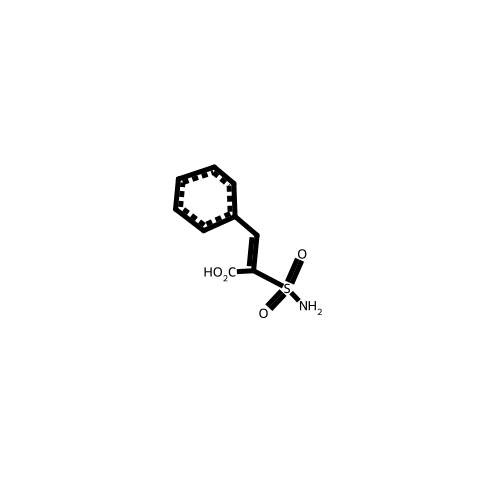 NS(=O)(=O)/C(=C/c1ccccc1)C(=O)O